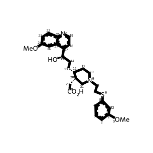 COc1cccc(SCCN2CC[C@@H](CC[C@@H](O)c3ccnc4ccc(OC)cc34)[C@@H](CC(=O)O)C2)c1